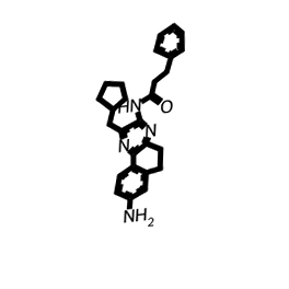 Nc1ccc2c(c1)CCc1nc(NC(=O)CCc3ccccc3)c(CC3CCCC3)nc1-2